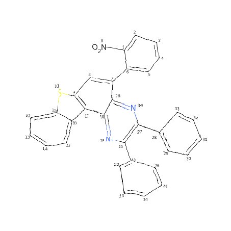 O=[N+]([O-])c1ccccc1-c1cc2sc3ccccc3c2c2nc(-c3ccccc3)c(-c3ccccc3)nc12